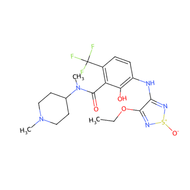 CCOc1n[s+]([O-])nc1Nc1ccc(C(F)(F)F)c(C(=O)N(C)C2CCN(C)CC2)c1O